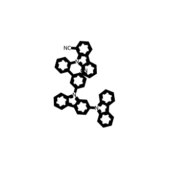 N#Cc1ccc(-n2c3ccccc3c3ccc(-n4c5ccccc5c5ccccc54)cc32)cc1-c1ccccc1-n1c2ccccc2c2cccc(C#N)c21